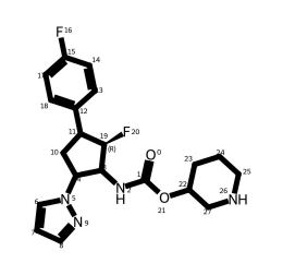 O=C(NC1C(n2cccn2)CC(c2ccc(F)cc2)[C@H]1F)OC1CCCNC1